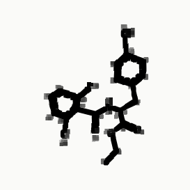 CCOC(=O)[C@H](Cc1ccc(O)cc1)NC(=O)c1c(F)cccc1Cl